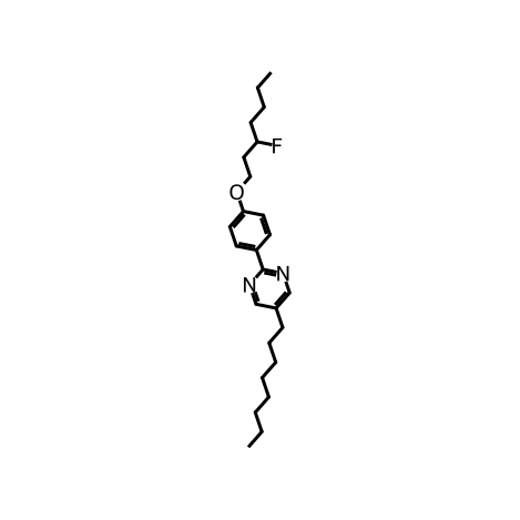 CCCCCCCCc1cnc(-c2ccc(OCCC(F)CCCC)cc2)nc1